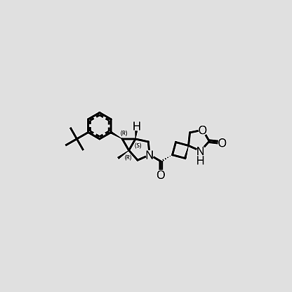 CC(C)(C)c1cccc([C@H]2[C@@H]3CN(C(=O)[C@H]4C[C@]5(COC(=O)N5)C4)C[C@@]32C)c1